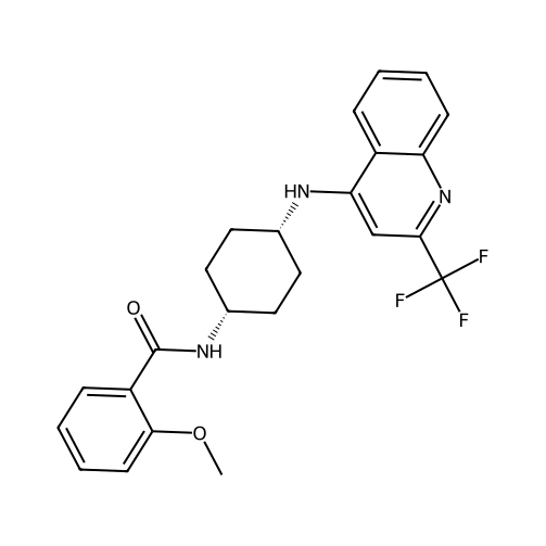 COc1ccccc1C(=O)N[C@H]1CC[C@@H](Nc2cc(C(F)(F)F)nc3ccccc23)CC1